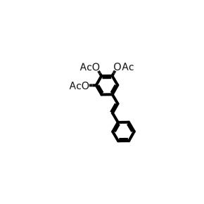 CC(=O)Oc1cc(/C=C/c2ccccc2)cc(OC(C)=O)c1OC(C)=O